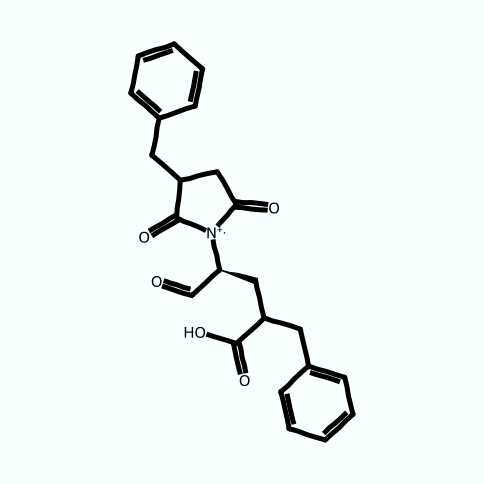 O=C[C@H](CC(Cc1ccccc1)C(=O)O)[N+]1C(=O)CC(Cc2ccccc2)C1=O